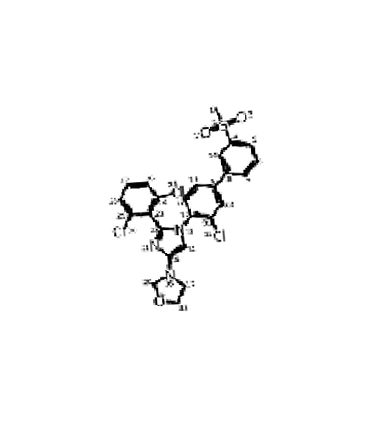 CS(=O)(=O)c1cccc(-c2ccc(-n3cc(N4CCOC4)nc3-c3c(Cl)cccc3Cl)c(Cl)c2)c1